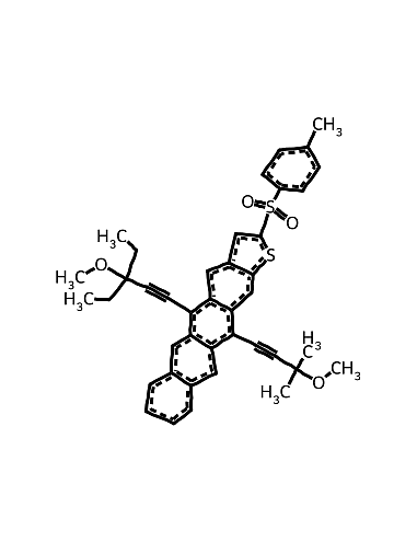 CCC(C#Cc1c2cc3ccccc3cc2c(C#CC(C)(C)OC)c2cc3sc(S(=O)(=O)c4ccc(C)cc4)cc3cc12)(CC)OC